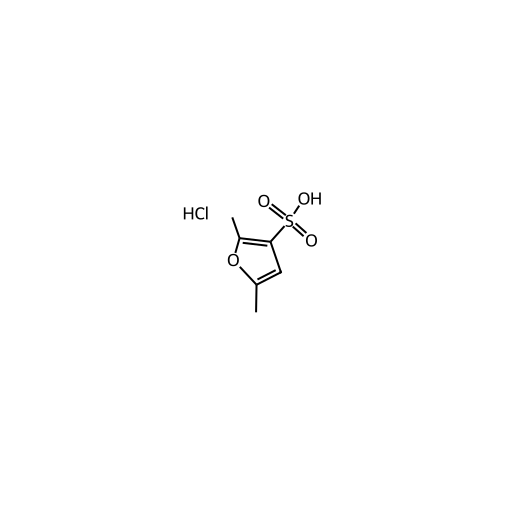 Cc1cc(S(=O)(=O)O)c(C)o1.Cl